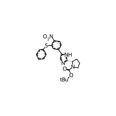 CC(C)(C)OC(=O)N1CCC[C@H]1c1ncc(-c2ccc([N+](=O)[O-])c(Sc3ccccc3)c2)[nH]1